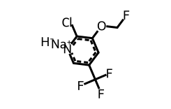 FCOc1cc(C(F)(F)F)cnc1Cl.[H-].[Na+]